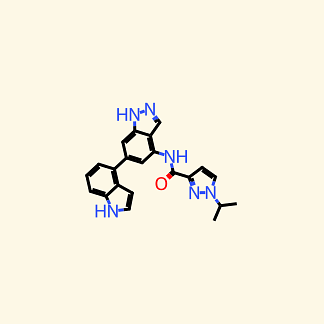 CC(C)n1ccc(C(=O)Nc2cc(-c3cccc4[nH]ccc34)cc3[nH]ncc23)n1